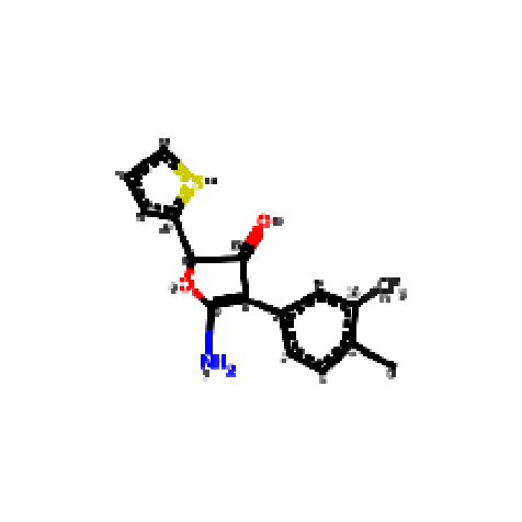 Cc1ccc(C2=C(N)OC(c3cccs3)C2=O)cc1C(F)(F)F